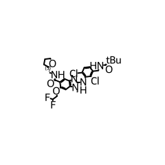 Cn1c(Nc2c(Cl)ccc(CNC(=O)C(C)(C)C)c2Cl)nc2cc(C(=O)NC[C@@H]3CCCO3)c(OCC(F)F)cc21